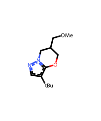 COCC1COc2c(C(C)(C)C)cnn2C1